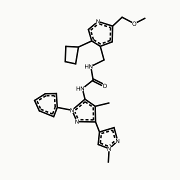 COCc1cc(CNC(=O)Nc2c(C)c(-c3cnn(C)c3)nn2-c2ccccc2)c(C2CCC2)cn1